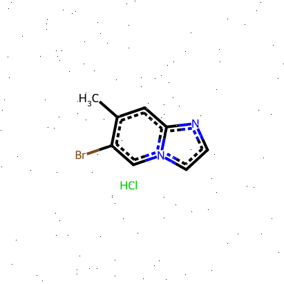 Cc1cc2nccn2cc1Br.Cl